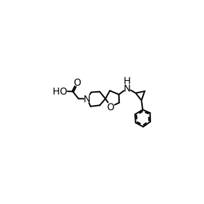 O=C(O)CN1CCC2(CC1)CC(NC1CC1c1ccccc1)CO2